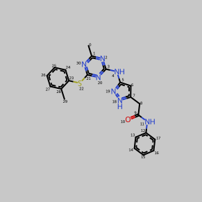 Cc1nc(Nc2cc(CC(=O)Nc3ccccc3)[nH]n2)nc(Sc2ccccc2C)n1